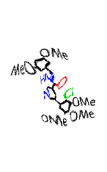 COc1cc(CNC(=O)c2cncc(-c3cc(OC)c(OC)c(OC)c3Cl)c2)cc(OC)c1